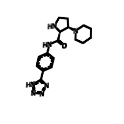 O=C(Nc1ccc(-c2nnn[nH]2)cc1)[C@H]1NCC[C@H]1N1CCCCC1